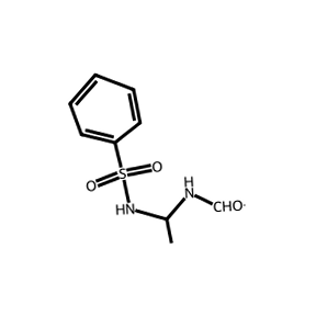 CC(N[C]=O)NS(=O)(=O)c1ccccc1